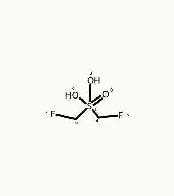 O=S(O)(O)(CF)CF